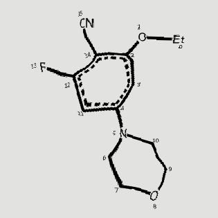 CCOc1cc(N2CCOCC2)cc(F)c1C#N